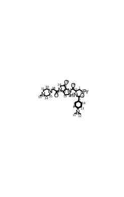 CC(C)CC(NC(=O)c1ccc(N(C)C)cc1)C(=O)N1CCC2C1C(=O)CN2C(=O)CN1CCN(C)CC1